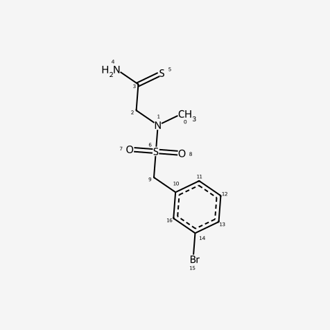 CN(CC(N)=S)S(=O)(=O)Cc1cccc(Br)c1